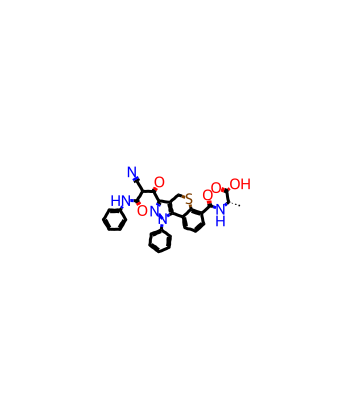 C[C@H](NC(=O)c1cccc2c1SCc1c(C(=O)C(C#N)C(=O)Nc3ccccc3)nn(-c3ccccc3)c1-2)C(=O)O